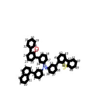 c1cc(-c2cccc3ccccc23)cc(N(c2cccc(-c3cccc4c3oc3ccccc34)c2)c2cccc(-c3cccc4c3sc3ccccc34)c2)c1